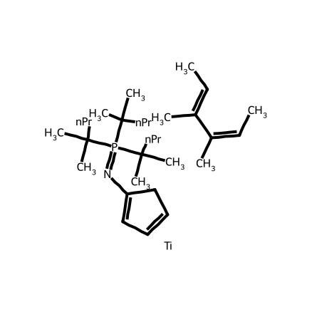 CC=C(C)C(C)=CC.CCCC(C)(C)P(=NC1=CC=CC1)(C(C)(C)CCC)C(C)(C)CCC.[Ti]